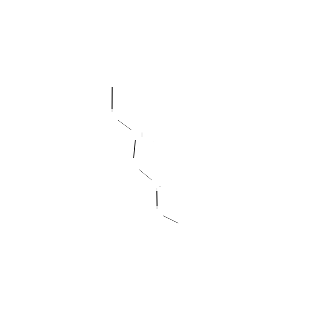 [Pt].[SiH3]O[SiH2]O[SiH2]O[SiH3]